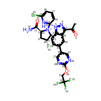 CC(=O)c1nn([C@@]2(N3C[C@H](F)C[C@H]3C(N)=O)C=CC=C(Br)N2)c2ccc(-c3cnc(OCC(F)(F)F)nc3)cc12